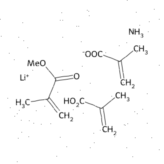 C=C(C)C(=O)O.C=C(C)C(=O)OC.C=C(C)C(=O)[O-].N.[Li+]